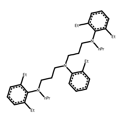 CCCN(CCCN(CCCN(CCC)c1c(CC)cccc1CC)c1ccccc1CC)c1c(CC)cccc1CC